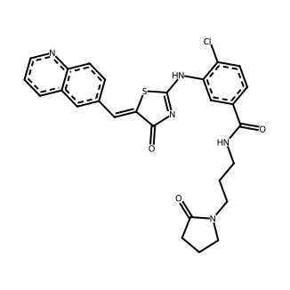 O=C1N=C(Nc2cc(C(=O)NCCCN3CCCC3=O)ccc2Cl)S/C1=C\c1ccc2ncccc2c1